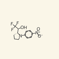 O=[N+]([O-])c1ccc(N2CCC[C@@H]2[C@H](O)C(F)(F)F)cc1